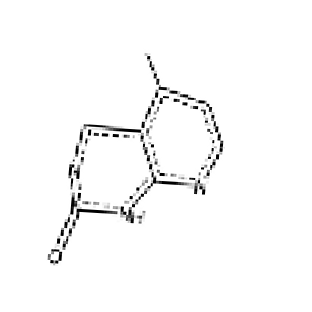 Cc1ccnc2[nH]c(=O)ncc12